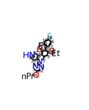 CCCOc1cnc(N(Cc2cc(OCC)c(-c3ccc(F)cc3)c(OCC)c2)C2CCNCC2)nc1